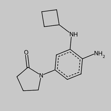 Nc1ccc(N2CCCC2=O)cc1NC1CCC1